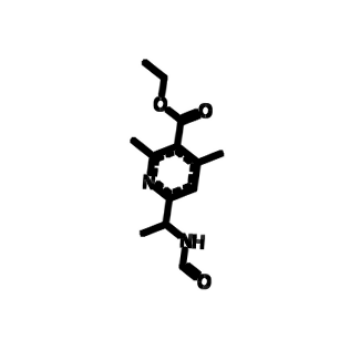 CCOC(=O)c1c(C)cc(C(C)NC=O)nc1C